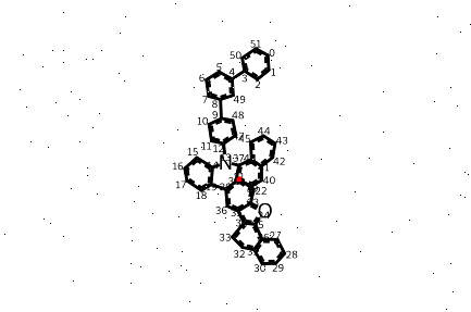 c1ccc(-c2cccc(-c3ccc(N(c4ccccc4-c4ccc5oc6c7ccccc7ccc6c5c4)c4cccc5ccccc45)cc3)c2)cc1